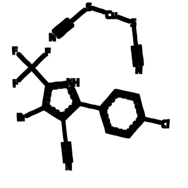 N#C[S][Cu][S]C#N.N#Cc1c(-c2ccc(Cl)cc2)[nH]c(C(F)(F)F)c1Br